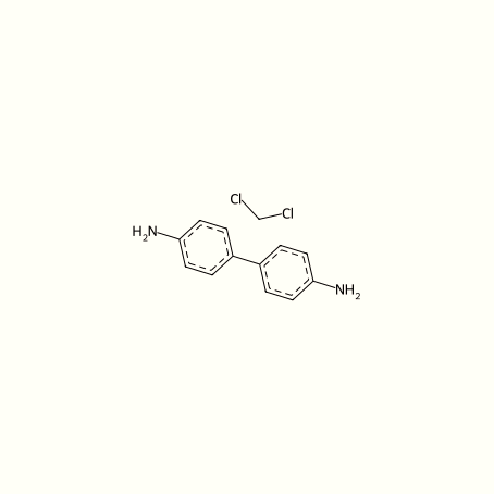 ClCCl.Nc1ccc(-c2ccc(N)cc2)cc1